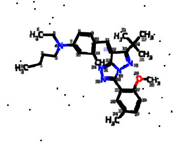 CCCCN(CC)c1ccc(/C=c2/c(C(C)(C)C)nn3c(-c4cc(C)ccc4OC)nnc23)c(C)c1